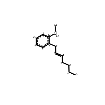 CCCCC=CCc1[c]cccc1OC